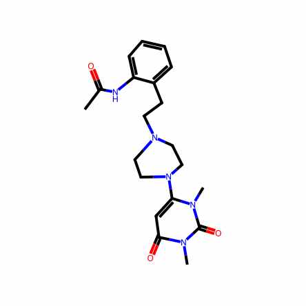 CC(=O)Nc1ccccc1CCN1CCN(c2cc(=O)n(C)c(=O)n2C)CC1